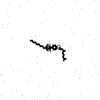 CCCCCCCCCc1cnc(-c2ccc(OCCC(C)CCCC(C)C)cc2)nc1